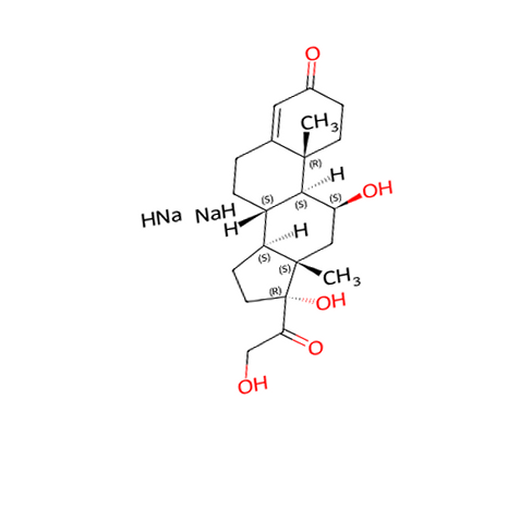 C[C@]12CCC(=O)C=C1CC[C@@H]1[C@@H]2[C@@H](O)C[C@@]2(C)[C@H]1CC[C@]2(O)C(=O)CO.[NaH].[NaH]